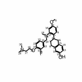 COc1ccc(C2CCc3cc(O)ccc3C2)c(N(C)Cc2ccc(OCCN(C)C)c(F)c2)c1